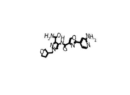 NC(=O)c1nn(CC2CCOC2)cc1NC(=O)c1coc(-c2ccnc(N)c2)n1